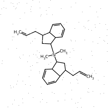 C=CCC1CC([Si](C)(C)C2CC(CC=C)C3C=CC=CC32)C2C=CC=CC12